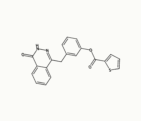 O=C(Oc1cccc(Cc2n[nH]c(=O)c3ccccc23)c1)c1cccs1